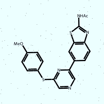 COc1ccc(Sc2cncc(-c3ccc4nc(NC(C)=O)sc4c3)n2)cc1